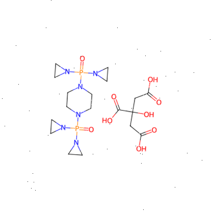 O=C(O)CC(O)(CC(=O)O)C(=O)O.O=P(N1CC1)(N1CC1)N1CCN(P(=O)(N2CC2)N2CC2)CC1